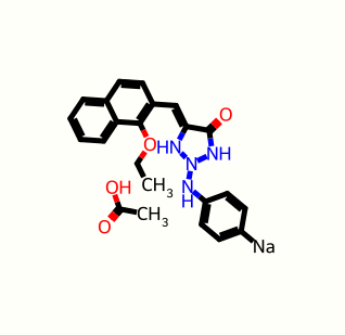 CC(=O)O.CCOc1c(C=C2NN(Nc3cc[c]([Na])cc3)NC2=O)ccc2ccccc12